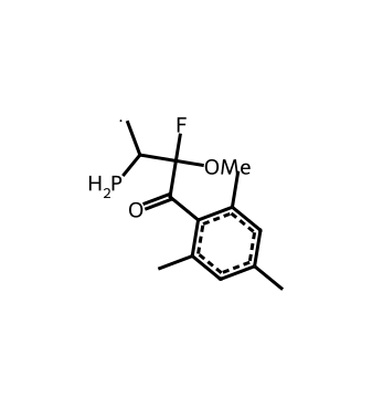 [CH2]C(P)C(F)(OC)C(=O)c1c(C)cc(C)cc1C